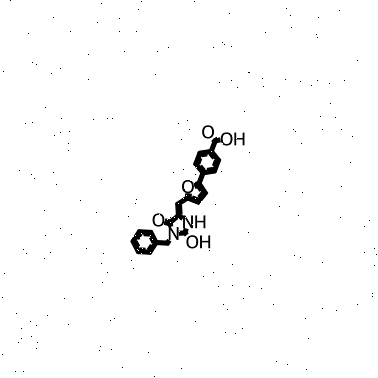 O=C(O)c1ccc(-c2ccc(/C=C3\NC(O)N(Cc4ccccc4)C3=O)o2)cc1